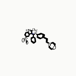 O=C1Nc2ccc([N+](=O)[O-])cc2/C1=C(/Nc1ccc(CCN2CCOCC2)cc1)c1ccccc1